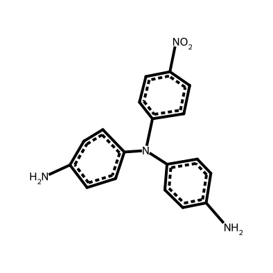 Nc1ccc(N(c2ccc(N)cc2)c2ccc([N+](=O)[O-])cc2)cc1